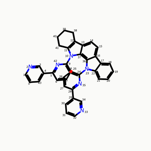 c1cncc(-c2cccc(-n3c4c(c5ccc6c7ccccc7n(-c7cccc(-c8cccnc8)n7)c6c53)CCCC4)n2)c1